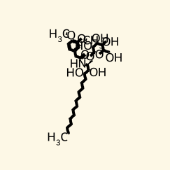 CCCCCCCCCCCCCCC(O)C(O)[C@H](COC1OC(CO)C(O)C(O)C1O)NC(=O)Cc1ccc(OC)c(OC)c1